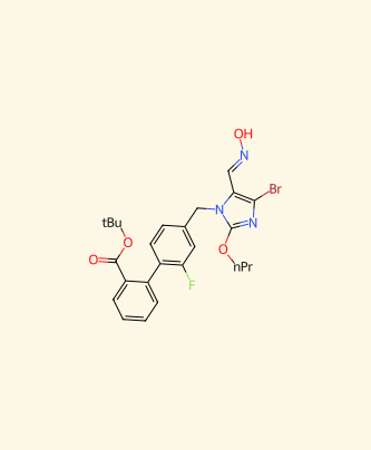 CCCOc1nc(Br)c(C=NO)n1Cc1ccc(-c2ccccc2C(=O)OC(C)(C)C)c(F)c1